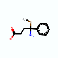 CSC(N)(CCC(=O)O)c1ccccc1